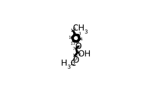 CCc1ccc(OC[C@@H](O)COC)cc1